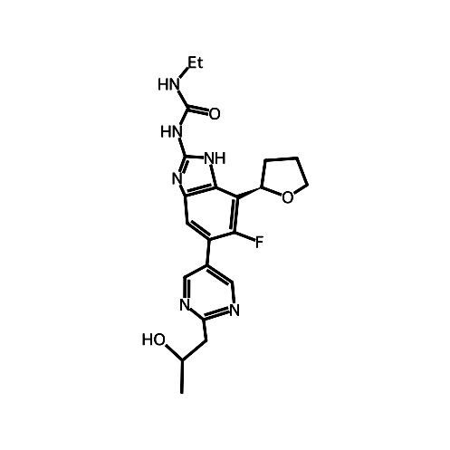 CCNC(=O)Nc1nc2cc(-c3cnc(CC(C)O)nc3)c(F)c([C@H]3CCCO3)c2[nH]1